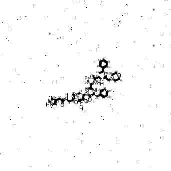 CCC(C)(OC(=O)CNC(=O)Cc1c[nH]nn1)C(=O)[C@H](CC(C)C)NC(=O)[C@H](Cc1ccccc1)NC(=O)[C@H](CC(C)C)NC(=O)[C@H](CCc1ccccc1)NC(=O)CN1CCOCC1